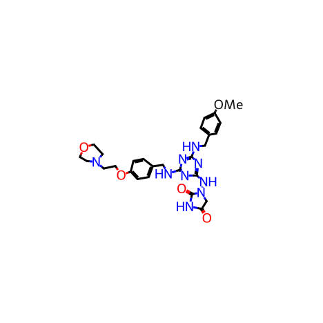 COc1ccc(CNc2nc(NCc3ccc(OCCN4CCOCC4)cc3)nc(NN3CC(=O)NC3=O)n2)cc1